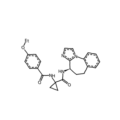 CCOc1ccc(C(=O)NC2(C(=O)N[C@@H]3CCc4ccccc4-n4ccnc43)CC2)cc1